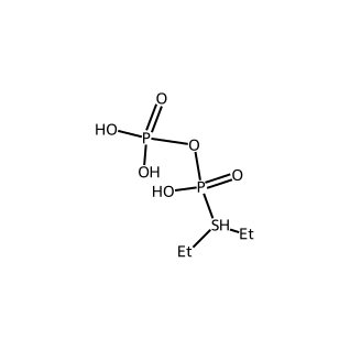 CC[SH](CC)P(=O)(O)OP(=O)(O)O